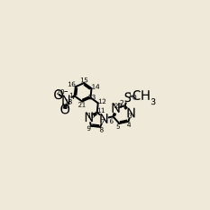 CSc1nccc(-n2ccnc2Cc2cccc([N+](=O)[O-])c2)n1